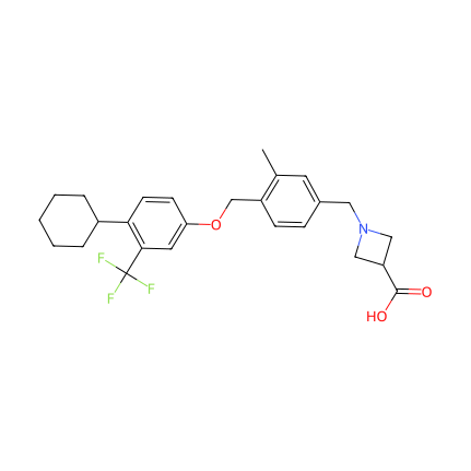 Cc1cc(CN2CC(C(=O)O)C2)ccc1COc1ccc(C2CCCCC2)c(C(F)(F)F)c1